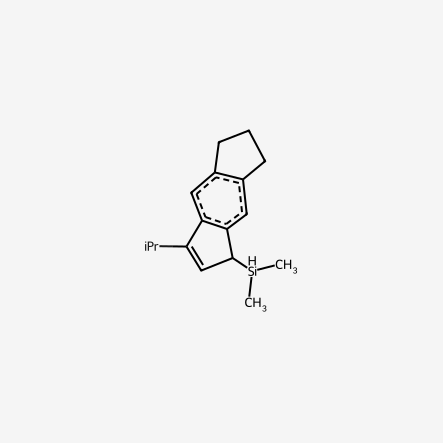 CC(C)C1=CC([SiH](C)C)c2cc3c(cc21)CCC3